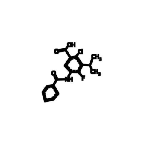 CC(C)c1c(F)c(NC(=O)c2ccccc2)cc(C(=O)O)c1Cl